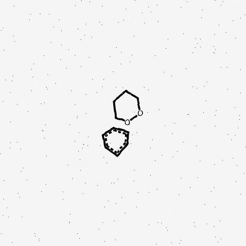 C1CCOOC1.c1ccccc1